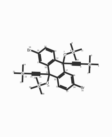 C[Si](C)(C)C#CC1(O[Si](C)(C)C)c2ccc(Br)cc2C(C#C[Si](C)(C)C)(O[Si](C)(C)C)c2ccc(Br)cc21